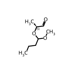 CCCC(OC)O[C@@H](C)C=O